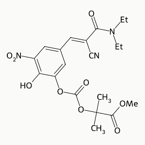 CCN(CC)C(=O)/C(C#N)=C/c1cc(OC(=O)OC(C)(C)C(=O)OC)c(O)c([N+](=O)[O-])c1